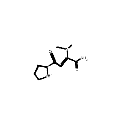 CN(C)C(=CC(=O)[C@@H]1CCCN1)C(N)=O